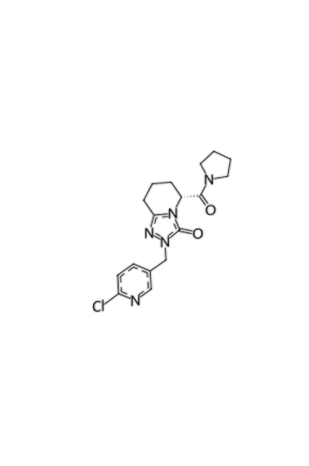 O=C([C@H]1CCCc2nn(Cc3ccc(Cl)nc3)c(=O)n21)N1CCCC1